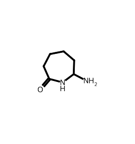 NC1CCCCC(=O)N1